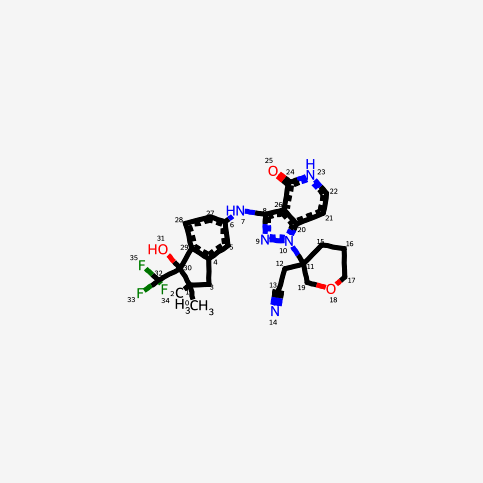 CC1(C)Cc2cc(Nc3nn(C4(CC#N)CCCOC4)c4cc[nH]c(=O)c34)ccc2C1(O)C(F)(F)F